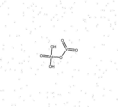 [O]=[V](=[O])[O][As](=O)(O)O